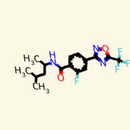 CC(C)CC(C)NC(=O)c1ccc(-c2noc(C(F)(F)F)n2)cc1F